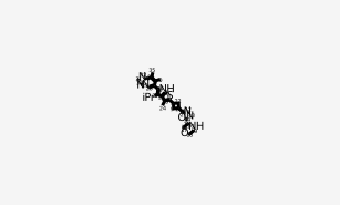 Cc1c(-c2[nH]c3sc(C4CC(c5nnc([C@H]6COCCN6)o5)C4)c(C)c3c2C(C)C)cn2ncnc2c1C